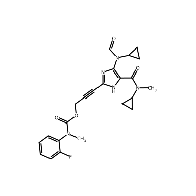 CN(C(=O)OCC#Cc1nc(N(C=O)C2CC2)c(C(=O)N(C)C2CC2)[nH]1)c1ccccc1F